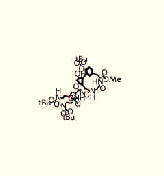 COC(=O)[C@@H]1Cc2ccc(OC(=O)OC(C)(C)C)c(c2)-c2cc(ccc2O)[C@H](N(C)C(=O)[C@H](CCCCNC(=O)OC(C)(C)C)NS(=O)(=O)CCN(C)C(=O)OC(C)(C)C)C(=O)N[C@@H](C)C(=O)N1